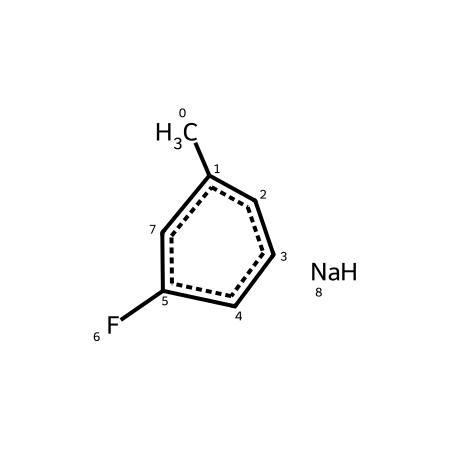 Cc1cccc(F)c1.[NaH]